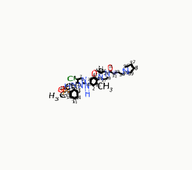 Cc1cc(Nc2ncc(Cl)c(Nc3ccccc3P(C)(C)=O)n2)cc2c1N1CCN(C(=O)/C=C/CN3CCCC3)C[C@H]1CO2